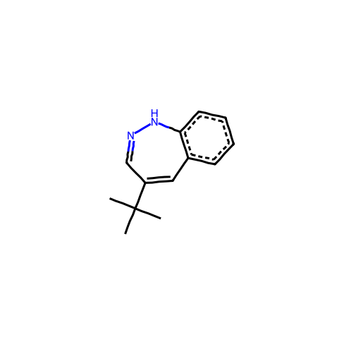 CC(C)(C)C1=Cc2ccccc2NN=C1